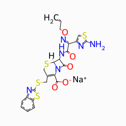 C=CCON=C(C(=O)NC1C(=O)N2C(C(=O)[O-])=C(CSc3nc4ccccc4s3)CS[C@@H]12)c1csc(N)n1.[Na+]